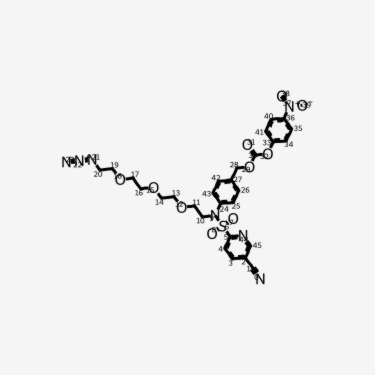 N#Cc1ccc(S(=O)(=O)N(CCOCCOCCOCCN=[N+]=[N-])c2ccc(COC(=O)Oc3ccc([N+](=O)[O-])cc3)cc2)nc1